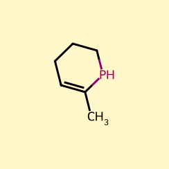 CC1=CCCCP1